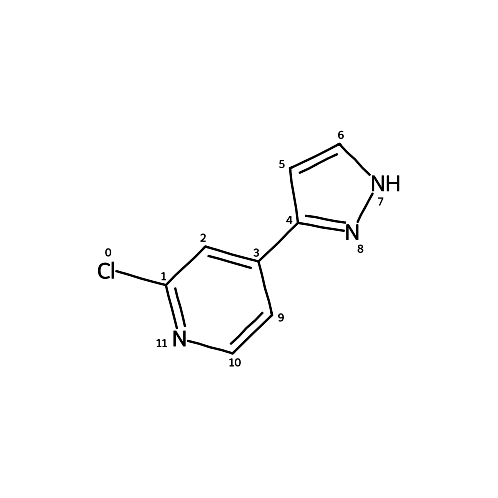 Clc1cc(-c2cc[nH]n2)ccn1